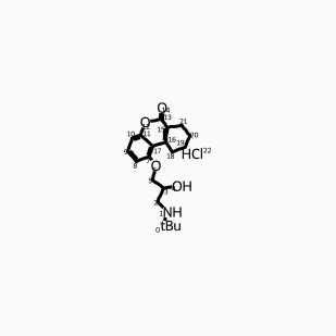 CC(C)(C)NCC(O)COc1cccc2oc(=O)c3c(c12)CCCC3.Cl